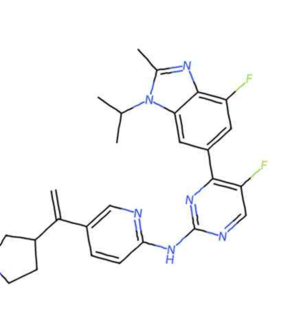 C=C(c1ccc(Nc2ncc(F)c(-c3cc(F)c4nc(C)n(C(C)C)c4c3)n2)nc1)C1CCNC1